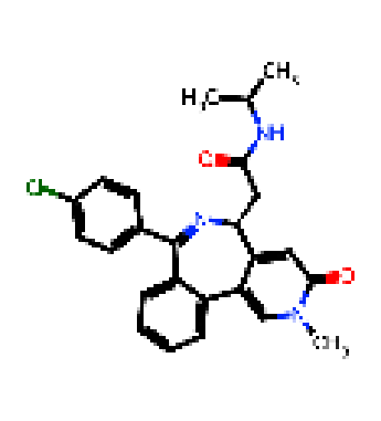 CC(C)NC(=O)C[C@@H]1N=C(c2ccc(Cl)cc2)c2ccccc2-c2cn(C)c(=O)cc21